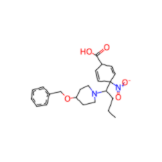 CCCC(N1CCC(OCc2ccccc2)CC1)C1([N+](=O)[O-])C=CC(C(=O)O)C=C1